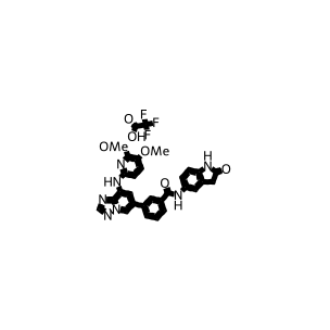 COc1ccc(Nc2cc(-c3cccc(C(=O)Nc4ccc5c(c4)CC(=O)N5)c3)cn3ncnc23)nc1OC.O=C(O)C(F)(F)F